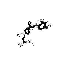 CN(C)CCN(C)c1ccc(C(=O)C=Cc2ccc(Cl)cc2Cl)cc1